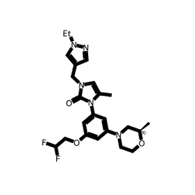 CCn1cc(Cn2cc(C)n(-c3cc(OCC(F)F)cc(N4CCO[C@H](C)C4)c3)c2=O)cn1